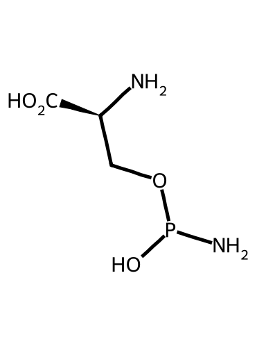 N[C@@H](COP(N)O)C(=O)O